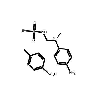 CC(C)S(=O)(=O)NC[C@H](C)c1ccc(N)cc1.Cc1ccc(S(=O)(=O)O)cc1